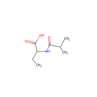 CCC(NC(=O)C(C)C)C(=O)O